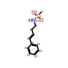 CS(=O)(=O)NCCC=Cc1ccccc1